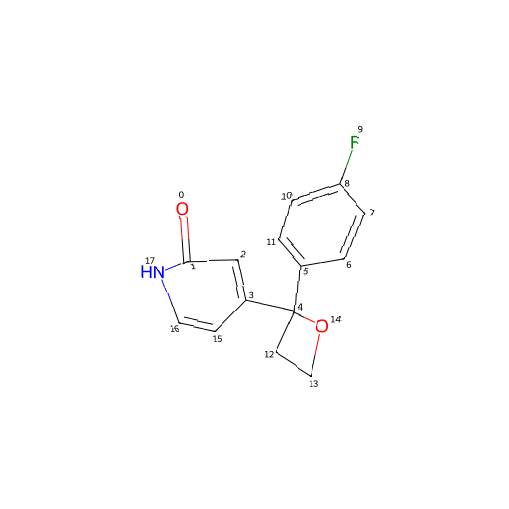 O=c1cc(C2(c3ccc(F)cc3)CCO2)cc[nH]1